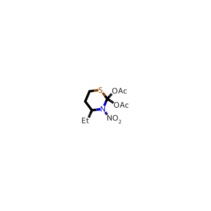 CCC1CCSC(OC(C)=O)(OC(C)=O)N1[N+](=O)[O-]